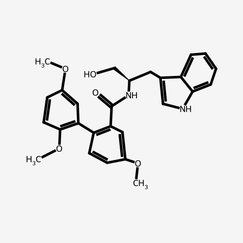 COc1ccc(-c2cc(OC)ccc2OC)c(C(=O)N[C@@H](CO)Cc2c[nH]c3ccccc23)c1